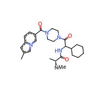 CN[C@@H](C)C(=O)NC(C(=O)N1CCN(C(=O)c2ccc3cc(C)cn3c2)CC1)C1CCCCC1